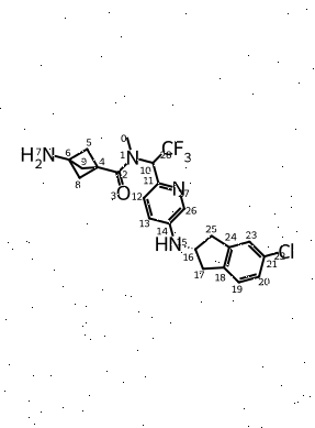 CN(C(=O)C12CC(N)(C1)C2)C(c1ccc(N[C@H]2Cc3ccc(Cl)cc3C2)cn1)C(F)(F)F